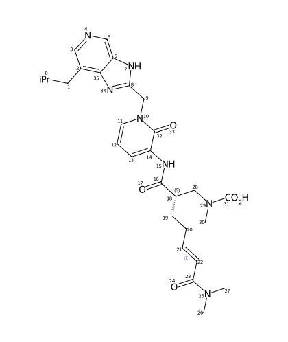 CC(C)Cc1cncc2[nH]c(Cn3cccc(NC(=O)[C@@H](CC/C=C/C(=O)N(C)C)CN(C)C(=O)O)c3=O)nc12